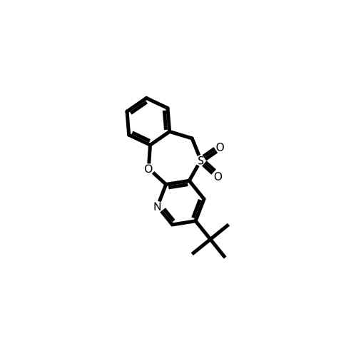 CC(C)(C)c1cnc2c(c1)S(=O)(=O)Cc1ccccc1O2